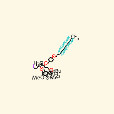 COc1ccc(COC(C(C)/C=C\I)C(C)C(CCCO[Si](C)(C)C(C)(C)C)OCc2ccc(OCCCC(F)(F)C(F)(F)C(F)(F)C(F)(F)C(F)(F)C(F)(F)C(F)(F)C(F)(F)C(F)(F)C(F)(F)F)cc2)cc1OC